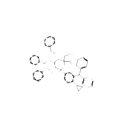 COC1(c2ccc(C3CC3)c(C(C3=CC=CCC3)C3=COC=CO3)c2)OC(CO)(CO)[C@@H](OCc2ccccc2)[C@H](OCc2ccccc2)[C@H]1OCc1ccccc1